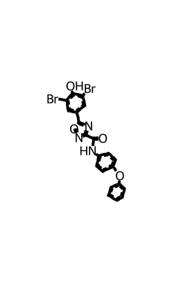 O=C(Nc1ccc(Oc2ccccc2)cc1)c1noc(-c2cc(Br)c(O)c(Br)c2)n1